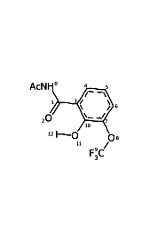 CC(=O)NC(=O)c1cccc(OC(F)(F)F)c1OI